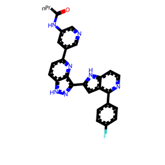 CCCC(=O)Nc1cncc(-c2ccc3[nH]nc(-c4cc5c(-c6ccc(F)cc6)nccc5[nH]4)c3n2)c1